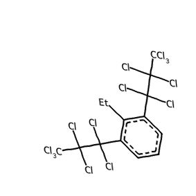 [CH2]Cc1c(C(Cl)(Cl)C(Cl)(Cl)C(Cl)(Cl)Cl)cccc1C(Cl)(Cl)C(Cl)(Cl)C(Cl)(Cl)Cl